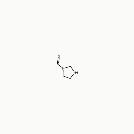 O=[C]N1CCNC1